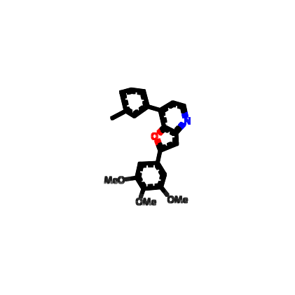 COc1cc(-c2cc3nccc(-c4cccc(C)c4)c3o2)cc(OC)c1OC